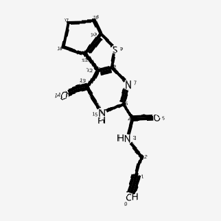 C#CCNC(=O)c1nc2sc3c(c2c(=O)[nH]1)CCC3